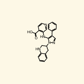 O=C(O)c1ccncc1Nc1c(-c2ccccc2)cnn1C1CNc2ccccc2C1